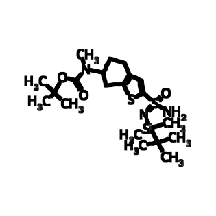 CN(C(=O)OC(C)(C)C)C1CCc2cc(S(N)(=O)=N[Si](C)(C)C(C)(C)C)sc2C1